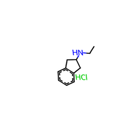 CCNC1Cc2ccccc2C1.Cl